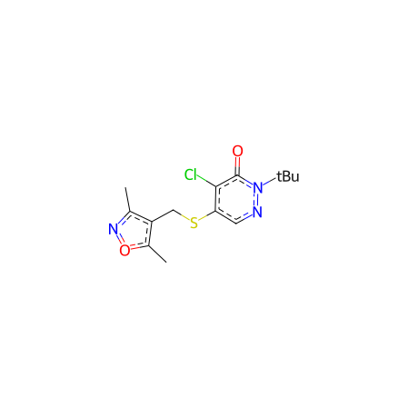 Cc1noc(C)c1CSc1cnn(C(C)(C)C)c(=O)c1Cl